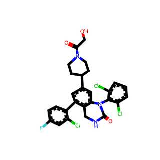 O=C(CO)N1CCC(c2cc(-c3ccc(F)cc3Cl)c3c(c2)N(c2c(Cl)cccc2Cl)C(=O)NC3)CC1